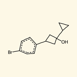 OC1(C2CC2)CC(c2ccc(Br)cc2)C1